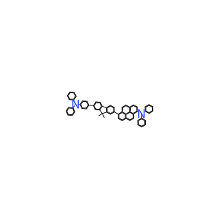 CC1(C)c2cc(-c3ccc(N(c4ccccc4)c4ccccc4)cc3)ccc2-c2ccc(-c3ccc4ccc5c(N(c6ccccc6)c6ccccc6)ccc6ccc3c4c65)cc21